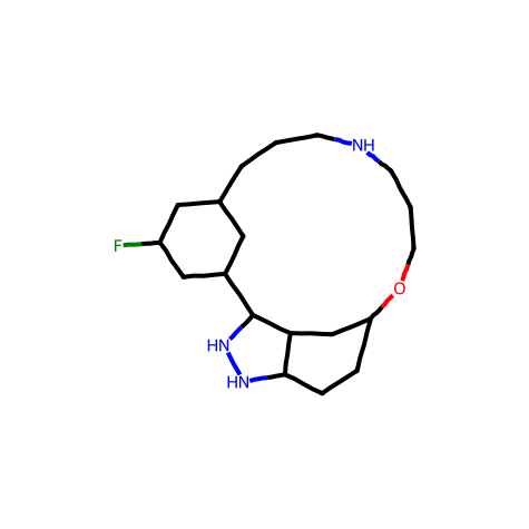 FC1CC2CCCNCCCOC3CCC4NNC(C(C1)C2)C4C3